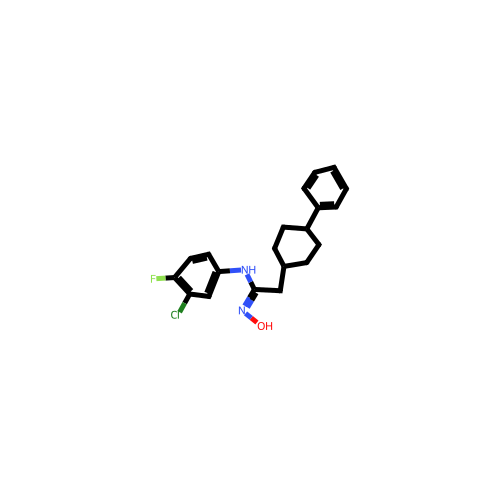 O/N=C(\CC1CCC(c2ccccc2)CC1)Nc1ccc(F)c(Cl)c1